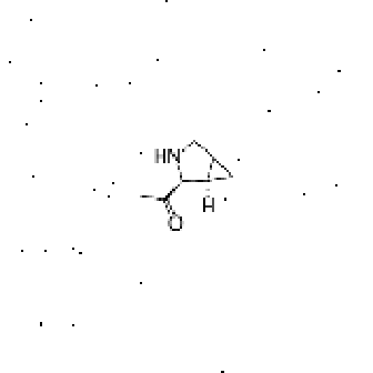 CC(=O)[C@H]1NCC2C[C@H]21